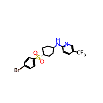 O=S(=O)(c1ccc(Br)cc1)[C@H]1CC[C@H](Nc2ccc(C(F)(F)F)cn2)CC1